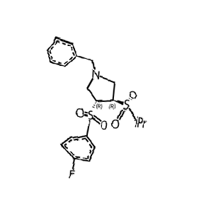 CC(C)S(=O)(=O)[C@@H]1CN(Cc2ccccc2)C[C@H]1S(=O)(=O)c1ccc(F)cc1